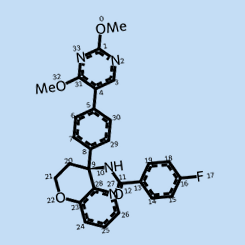 COc1ncc(-c2ccc([C@@]3(NC(=O)c4ccc(F)cc4)CCOc4cccnc43)cc2)c(OC)n1